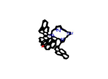 C1=Cc2cc3[nH]c(c(-c4ccc5ccc6cccc7ccc4c5c67)c4nc(cc5ccc(cc1n2)[nH]5)C=C4c1ccc2ccc4cccc5ccc1c2c45)c(-c1ccc2ccc4cccc5ccc1c2c45)c3-c1ccc2ccc3cccc4ccc1c2c34